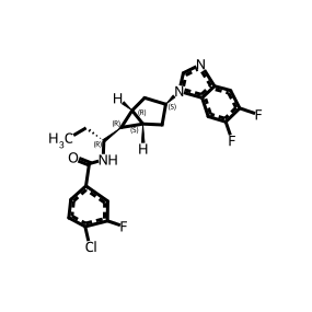 CC[C@@H](NC(=O)c1ccc(Cl)c(F)c1)[C@H]1[C@@H]2C[C@@H](n3cnc4cc(F)c(F)cc43)C[C@@H]21